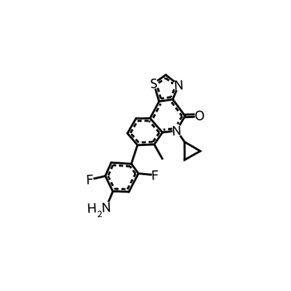 Cc1c(-c2cc(F)c(N)cc2F)ccc2c3scnc3c(=O)n(C3CC3)c12